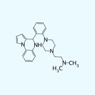 CN(C)CCN1CCN(c2ccccc2C2Nc3ccccc3-n3cccc32)CC1